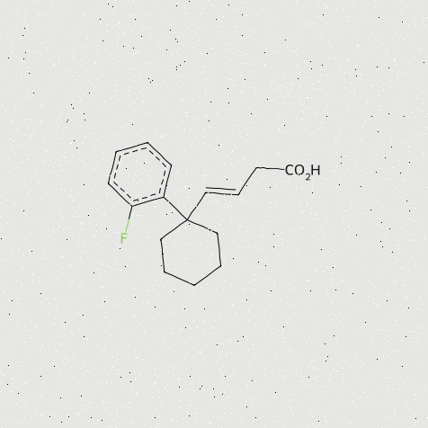 O=C(O)C/C=C/C1(c2ccccc2F)CCCCC1